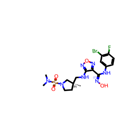 CN(C)S(=O)(=O)N1CC[C@](C)(CNc2nonc2/C(=N/O)Nc2ccc(F)c(Br)c2)C1